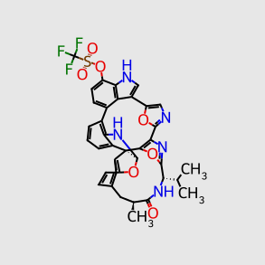 CC(C)[C@@H]1NC(=O)[C@@H](C)Cc2ccc3c(c2)[C@]24c5cccc(c5NC2O3)-c2ccc(OS(=O)(=O)C(F)(F)F)c3[nH]cc(c23)-c2cnc(o2)-c2nc1oc24